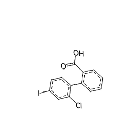 O=C(O)c1ccccc1-c1ccc(I)cc1Cl